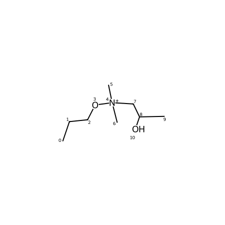 CCCO[N+](C)(C)CC(C)O